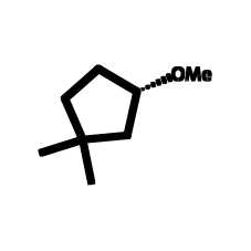 CO[C@H]1CCC(C)(C)C1